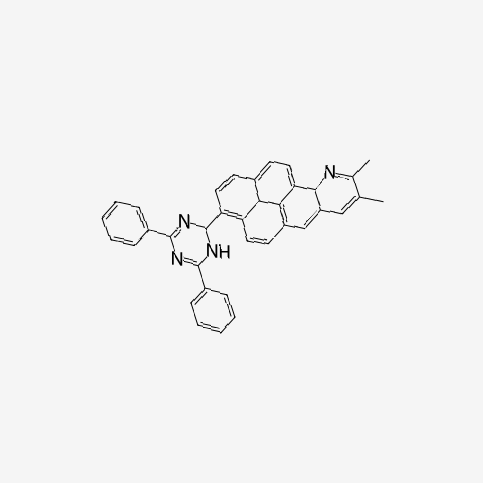 CC1=CC2=CC3=C4C(=CC=C5C=CC(C6N=C(c7ccccc7)N=C(c7ccccc7)N6)=C(C=C3)C54)C2N=C1C